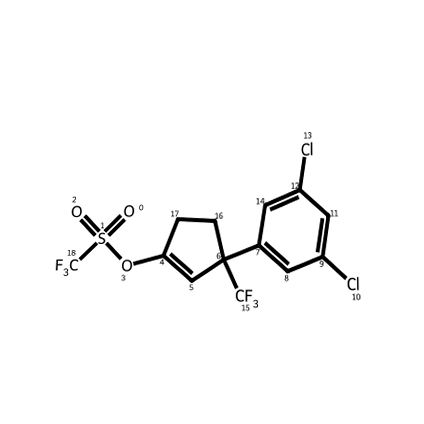 O=S(=O)(OC1=CC(c2cc(Cl)cc(Cl)c2)(C(F)(F)F)CC1)C(F)(F)F